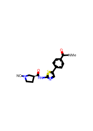 CNC(=O)c1ccc(-c2cnc(NC(=O)[C@H]3CCN(C#N)C3)s2)cc1